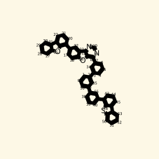 c1cc(-c2cccc(-c3ncnc4c3oc3ccc(-c5cccc6c5oc5ccccc56)cc34)c2)cc(-c2cccc(-c3cccc4c3sc3ccccc34)c2)c1